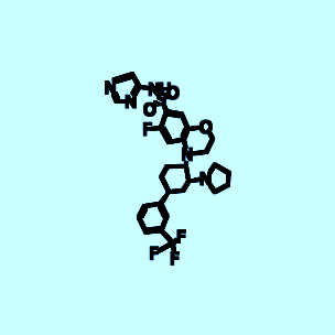 O=S(=O)(Nc1ccncn1)c1cc2c(cc1F)N([C@H]1CC[C@H](c3cccc(C(F)(F)F)c3)C[C@@H]1N1CCCC1)CCO2